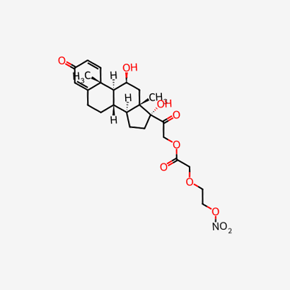 C[C@]12C=CC(=O)C=C1CC[C@@H]1[C@@H]2[C@@H](O)C[C@@]2(C)[C@H]1CC[C@]2(O)C(=O)COC(=O)COCCO[N+](=O)[O-]